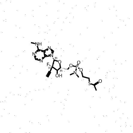 C#C[C@]1(F)C(O)[C@@H](COP(=O)(OCCSC(C)=O)N(C)C)O[C@H]1n1cnc2c(NC)ncnc21